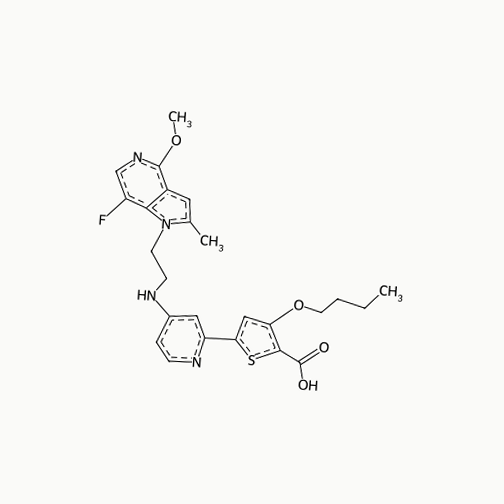 CCCCOc1cc(-c2cc(NCCn3c(C)cc4c(OC)ncc(F)c43)ccn2)sc1C(=O)O